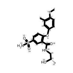 CSc1ccc(Oc2ccc(S(N)(=O)=O)cc2C(=O)NC[C@H](C)O)cc1C